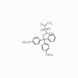 COc1ccc(C(OC(C)S(=O)(=O)C(C)[O])(c2ccccc2)c2ccc(OC)cc2)cc1